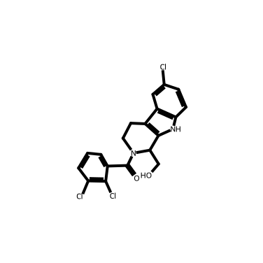 O=C(c1cccc(Cl)c1Cl)N1CCc2c([nH]c3ccc(Cl)cc23)C1CO